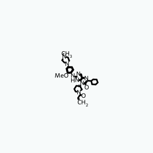 C=CC(=O)N1CCC[C@@H](n2c(=O)c(C3CCCCC3)nc3cnc(Nc4ccc(N5CCN(C)CC5)cc4OC)nc32)C1